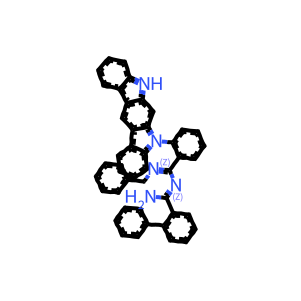 N/C(=N\C(=N/Cc1ccccc1)c1ccccc1-n1c2ccccc2c2cc3c(cc21)[nH]c1ccccc13)c1ccccc1-c1ccccc1